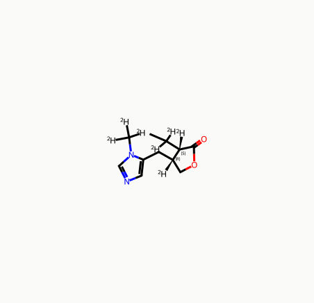 [2H]C([2H])([2H])n1cncc1C[C@@]1([2H])COC(=O)[C@@]1([2H])C([2H])([2H])C